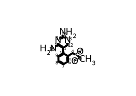 CS(=O)(=O)Cc1ccccc1-c1cnc(N)nc1N